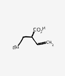 C=CC(CC(C)(C)C)C(=O)O